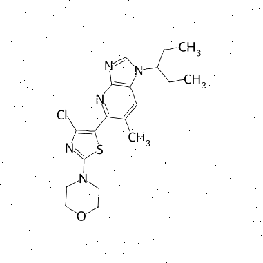 CCC(CC)n1cnc2nc(-c3sc(N4CCOCC4)nc3Cl)c(C)cc21